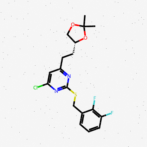 CC1(C)OC[C@@H](CCc2cc(Cl)nc(SCc3cccc(F)c3F)n2)O1